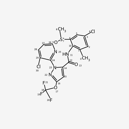 Cc1cc(Cl)cc([S+](C)[O-])c1NC(=O)c1cc(OC(F)(F)F)nn1-c1ncccc1Cl